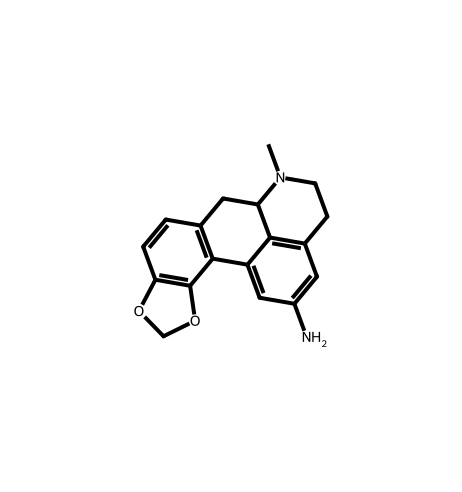 CN1CCc2cc(N)cc3c2C1Cc1ccc2c(c1-3)OCO2